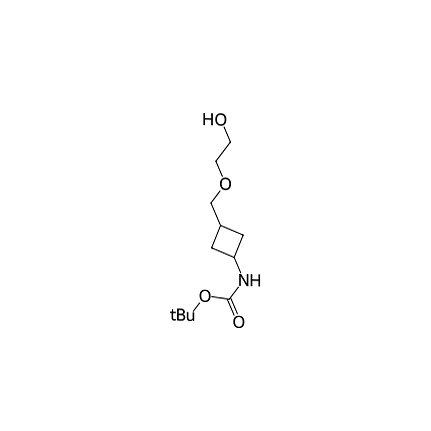 CC(C)(C)OC(=O)NC1CC(COCCO)C1